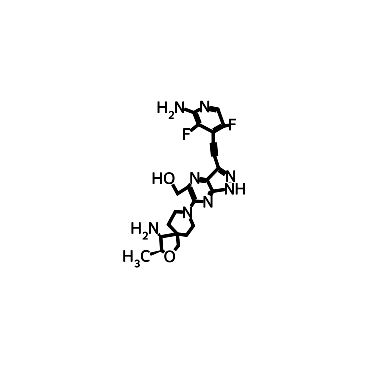 C[C@@H]1OCC2(CCN(c3nc4[nH]nc(C#Cc5c(F)cnc(N)c5F)c4nc3CO)CC2)[C@@H]1N